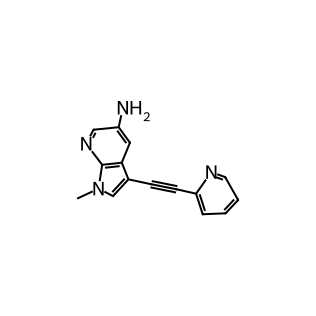 Cn1cc(C#Cc2ccccn2)c2cc(N)cnc21